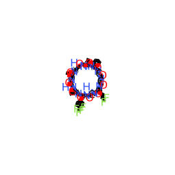 CC(C)C[C@H]1C(=O)N[C@@H](C2CCCCC2)C(=O)N(C)CC(=O)N(C)CC(=O)N(C)[C@@H](CCCCC(F)F)C(=O)N(C)CC(=O)N[C@@H](CCc2ccc(C(F)(F)F)c(F)c2)C(=O)N(C)[C@@H](CC(C)C)C(=O)NC(C)(C)C(=O)N(C)[C@@H](CC(C)C)C(=O)N[C@H](C)CC(=O)N1C